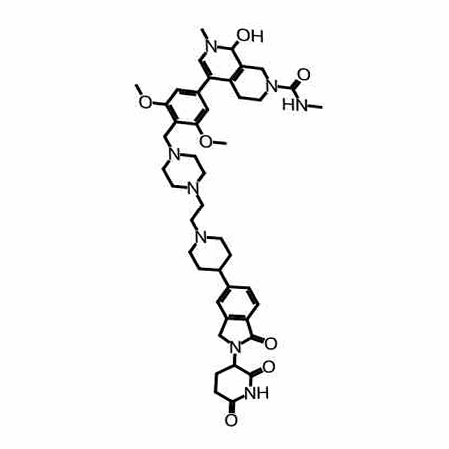 CNC(=O)N1CCC2=C(C1)C(O)N(C)C=C2c1cc(OC)c(CN2CCN(CCN3CCC(c4ccc5c(c4)CN(C4CCC(=O)NC4=O)C5=O)CC3)CC2)c(OC)c1